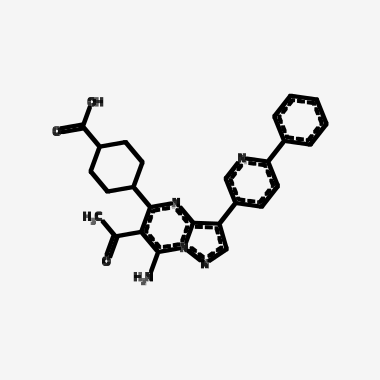 CC(=O)c1c(C2CCC(C(=O)O)CC2)nc2c(-c3ccc(-c4ccccc4)nc3)cnn2c1N